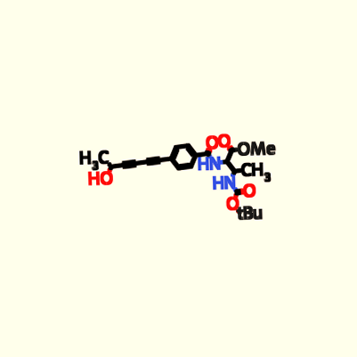 COC(=O)C(NC(=O)c1ccc(C#CC#C[C@H](C)O)cc1)C(C)NC(=O)OC(C)(C)C